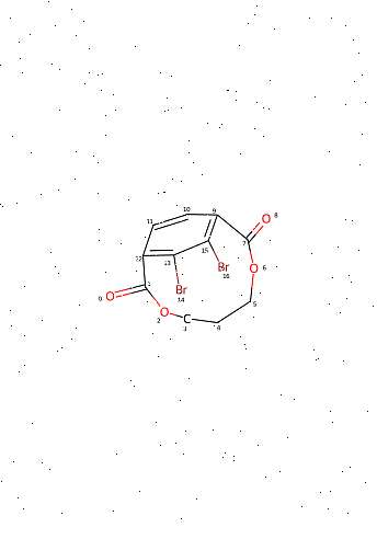 O=C1OCCCOC(=O)c2ccc1c(Br)c2Br